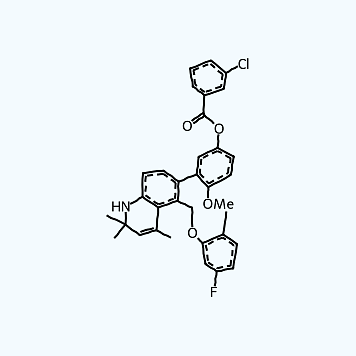 COc1ccc(OC(=O)c2cccc(Cl)c2)cc1-c1ccc2c(c1COc1cc(F)ccc1C)C(C)=CC(C)(C)N2